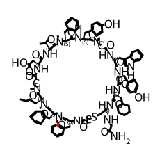 CCCC[C@H]1C(=O)N(C)CC(=O)N[C@@H](CC(=O)O)C(=O)N[C@@H](C(C)C)C(=O)N(C)[C@@H](Cc2ccccc2)C(=O)N[C@@H](Cc2ccc(O)cc2)C(=O)N(C)CC(=O)N[C@@H](Cc2c[nH]c3ccccc23)C(=O)N[C@@H](Cc2ccc(O)cc2)C(=O)N[C@@H](CC2CCCCC2)C(=O)N[C@H](CNCC(N)=O)CSCC(=O)N[C@@H](Cc2ccccc2)C(=O)N(C)[C@@H](Cc2ccccc2)C(=O)N1C